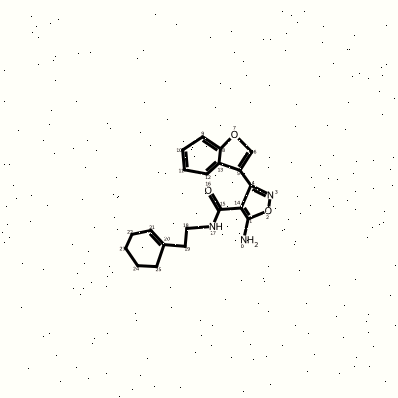 Nc1onc(-c2coc3ccccc23)c1C(=O)NCCC1=CCCCC1